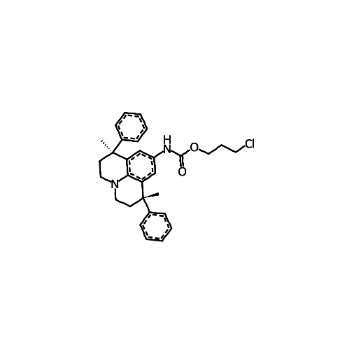 C[C@@]1(c2ccccc2)CCN2CC[C@@](C)(c3ccccc3)c3cc(NC(=O)OCCCCl)cc1c32